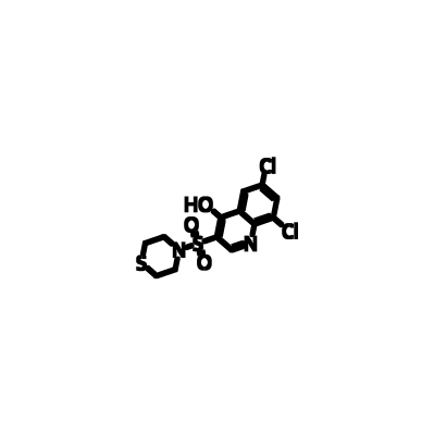 O=S(=O)(c1cnc2c(Cl)cc(Cl)cc2c1O)N1CCSCC1